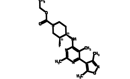 CCOC(=O)N1CC[C@@H](Nc2nc(C)nc(-c3c(C)noc3C)c2C)[C@@H](F)C1